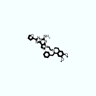 COc1cc2c(cc1OC)C(Cc1ccccc1)N(CCn1ncc3c1nc(N)n1nc(-c4ccco4)nc31)CC2